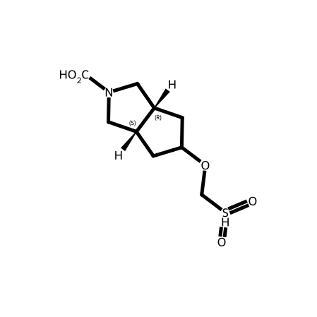 O=C(O)N1C[C@H]2CC(OC[SH](=O)=O)C[C@H]2C1